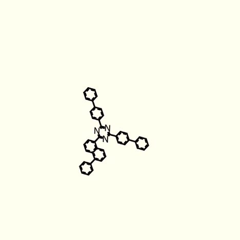 c1ccc(-c2ccc(-c3nc(-c4ccc(-c5ccccc5)cc4)nc(-c4cccc5c(-c6ccccc6)cccc45)n3)cc2)cc1